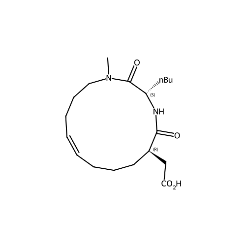 CCCC[C@@H]1NC(=O)[C@@H](CC(=O)O)CCCC=CCCCN(C)C1=O